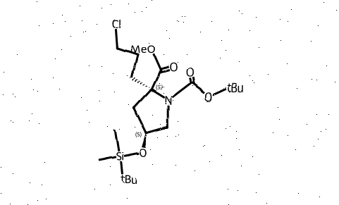 COC(=O)[C@]1(CCCCl)C[C@H](O[Si](C)(C)C(C)(C)C)CN1C(=O)OC(C)(C)C